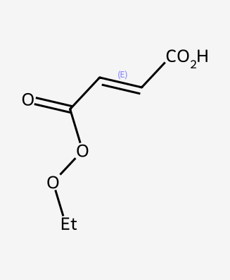 CCOOC(=O)/C=C/C(=O)O